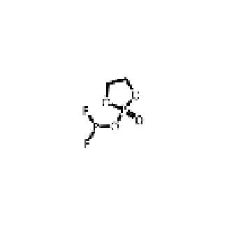 O=P1(OP(F)F)OCCO1